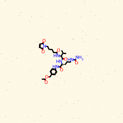 CC(=O)OCc1ccc(NC(=O)[C@H](CCCNC(N)=O)NC(=O)[C@@H](NC(=O)CCCCN2C(=O)C=CC2=O)C(C)C)cc1